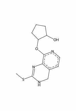 CSC1=Nc2c(ccnc2OC2CCCC2O)CN1